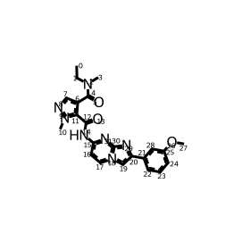 CCN(C)C(=O)c1cnn(C)c1C(=O)Nc1ccn2cc(-c3cccc(OC)c3)nc2n1